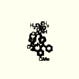 COc1ccc2c(c1)C1CC1(C(=O)N1CC3COCC(C1)N3)Cn1c-2c(C2CCCCC2)c2ccc(C(=O)NS(=O)(=O)N(C)C)cc21